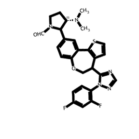 CN(C)[C@H]1CCN(C=O)C1c1ccc2c(c1)-c1sccc1C(c1ncnn1-c1ccc(F)cc1F)CO2